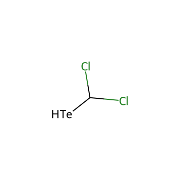 ClC(Cl)[TeH]